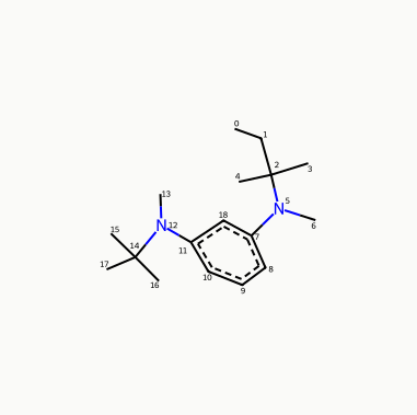 CCC(C)(C)N(C)c1cccc(N(C)C(C)(C)C)c1